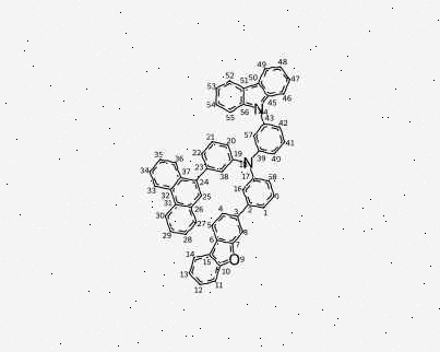 c1cc(-c2ccc3c(c2)oc2ccccc23)cc(N(c2cccc(-c3cc4ccccc4c4ccccc34)c2)c2cccc(-n3c4ccccc4c4ccccc43)c2)c1